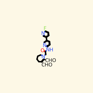 O=CC1=C(C=O)N(CC(=O)Nc2ccc(-c3ccc(F)nc3)cn2)CCCC1